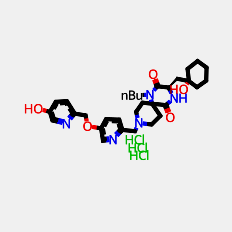 CCCCN1C(=O)[C@@H](CC2(O)CCCCC2)NC(=O)C12CCN(Cc1ccc(OCc3ccc(O)cn3)cn1)CC2.Cl.Cl.Cl